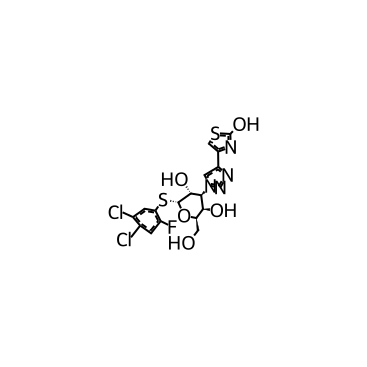 OC[C@H]1O[C@H](Sc2cc(Cl)c(Cl)cc2F)[C@H](O)[C@@H](n2cc(-c3csc(O)n3)nn2)[C@H]1O